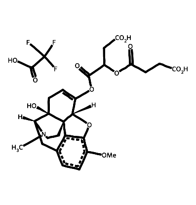 COc1ccc2c3c1O[C@H]1C(OC(=O)C(CC(=O)O)OC(=O)CCC(=O)O)=CC[C@@]4(O)[C@@H](C2)N(C)CC[C@]314.O=C(O)C(F)(F)F